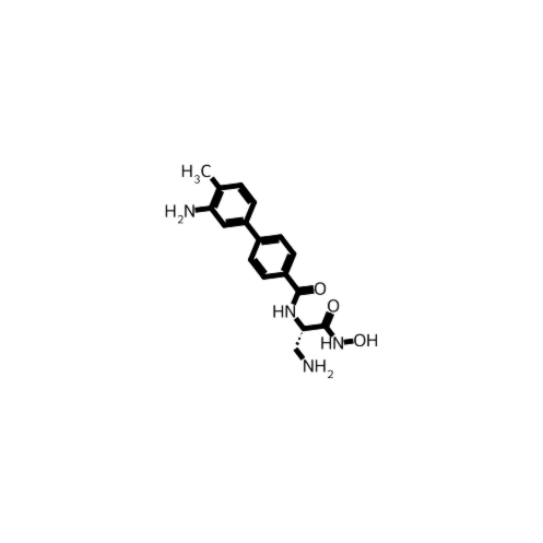 Cc1ccc(-c2ccc(C(=O)N[C@@H](CN)C(=O)NO)cc2)cc1N